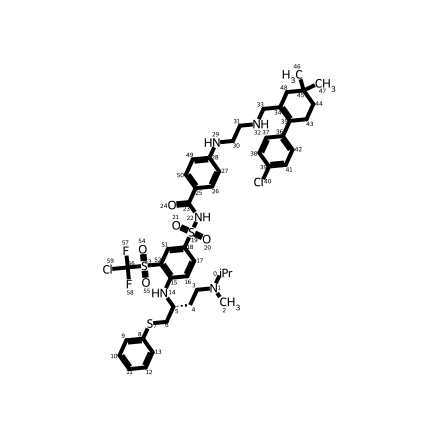 CC(C)N(C)CC[C@H](CSc1ccccc1)Nc1ccc(S(=O)(=O)NC(=O)c2ccc(NCCNCC3=C(c4ccc(Cl)cc4)CCC(C)(C)C3)cc2)cc1S(=O)(=O)C(F)(F)Cl